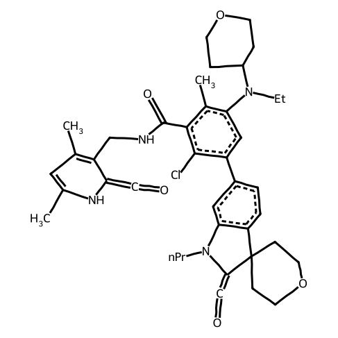 CCCN1C(=C=O)C2(CCOCC2)c2ccc(-c3cc(N(CC)C4CCOCC4)c(C)c(C(=O)NCC4=C(C)C=C(C)NC4=C=O)c3Cl)cc21